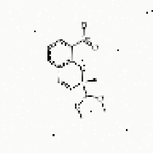 COC(OC)[C@]1(C)C=Cc2cccc([N+](=O)[O-])c2O1